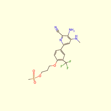 CNc1cc(-c2ccc(OCCCOS(C)(=O)=O)c(C(F)(F)F)c2)nc(C#N)c1N